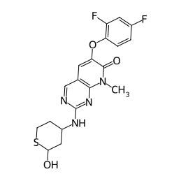 Cn1c(=O)c(Oc2ccc(F)cc2F)cc2cnc(NC3CCSC(O)C3)nc21